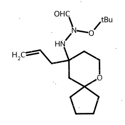 C=CCC1(NN(C=O)OC(C)(C)C)CCOC2(CCCC2)C1